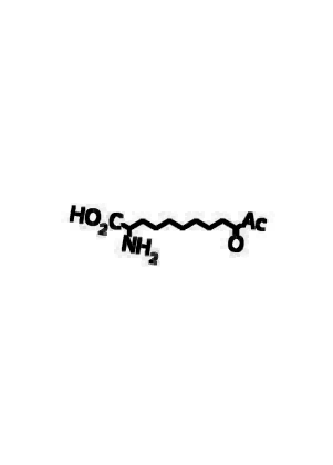 CC(=O)C(=O)CCCCCCCC(N)C(=O)O